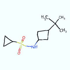 CC(C)(C)C1CC(NS(=O)(=O)C2CC2)C1